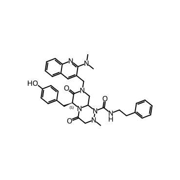 CN(C)c1nc2ccccc2cc1CN1CC2N(C(=O)CN(C)N2C(=O)NCCc2ccccc2)[C@@H](Cc2ccc(O)cc2)C1=O